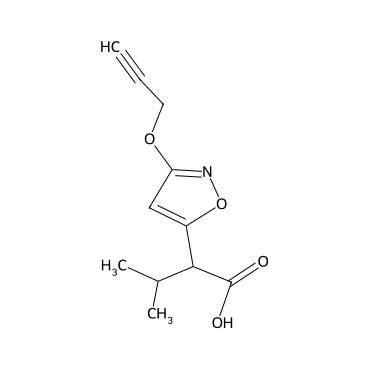 C#CCOc1cc(C(C(=O)O)C(C)C)on1